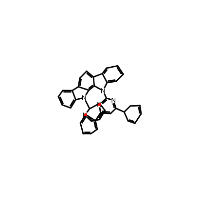 C1=CCC(c2cc(-c3ccccc3)nc(-n3c4ccccc4c4ccc5c6ccccc6n(C6CC=CC=N6)c5c43)n2)C=C1